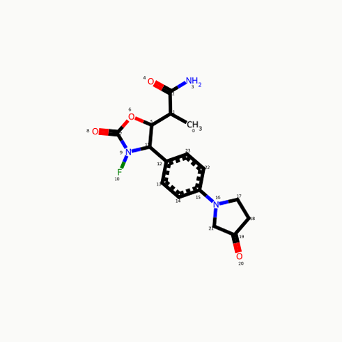 CC(C(N)=O)C1OC(=O)N(F)C1c1ccc(N2CCC(=O)C2)cc1